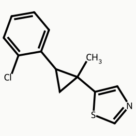 CC1(c2cncs2)CC1c1ccccc1Cl